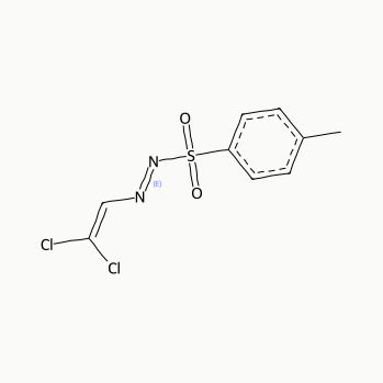 Cc1ccc(S(=O)(=O)/N=N/C=C(Cl)Cl)cc1